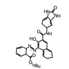 CCCCOC(=O)C1C=CC=CC1/N=N/c1c(O)c(C(=O)NC2C=c3[nH]c(=O)[nH]c3=CC2)cc2c1=CCCC=2